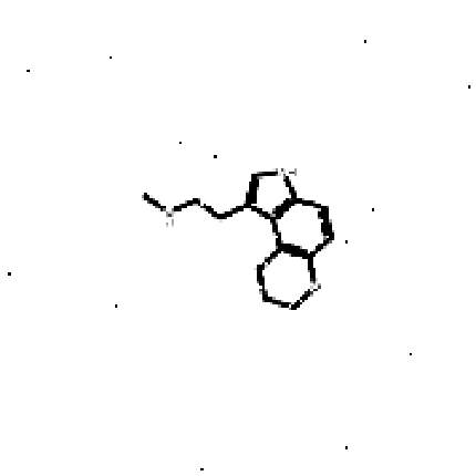 CNCCc1c[nH]c2ccc3c(c12)CCCO3